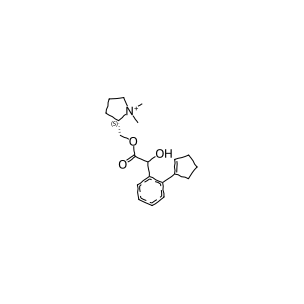 C[N+]1(C)CCC[C@H]1COC(=O)C(O)c1ccccc1C1=CCCC1